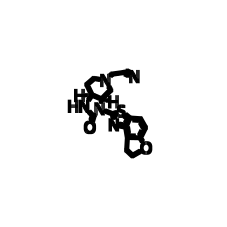 N#CCN1CC[C@H]2NC(=O)N(c3nc4c5c(ccc4s3)OCC5)[C@H]2C1